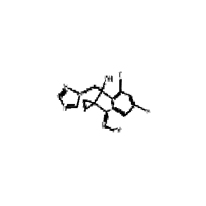 CC(C)C(=NO)C1(C(O)(Cn2cncn2)c2ccc(F)cc2F)CC1